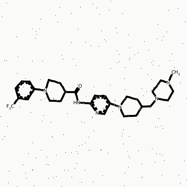 CN1CCN(CC2CCN(c3ccc(NC(=O)C4CCN(c5cccc(C(F)(F)F)c5)CC4)nc3)CC2)CC1